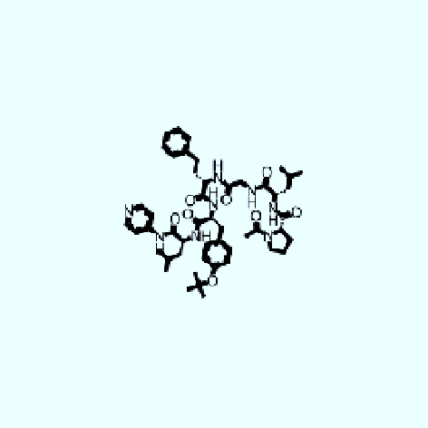 CC(=O)N1CCC[C@H]1C(=O)N[C@@H](CC(C)C)C(=O)NCC(=O)N[C@@H](CCc1ccccc1)C(=O)N[C@@H](Cc1ccc(OC(C)(C)C)cc1)C(=O)N[C@@H](CC(C)C)C(=O)Nc1ccncc1